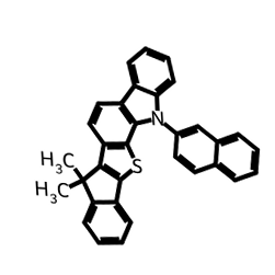 CC1(C)c2ccccc2-c2sc3c(ccc4c5ccccc5n(-c5ccc6ccccc6c5)c43)c21